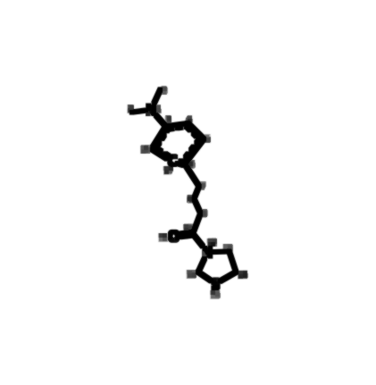 CN(C)c1ccc(CCCC(=O)N2CCSC2)cc1